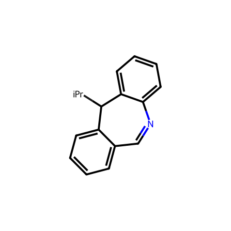 CC(C)C1c2ccccc2C=Nc2ccccc21